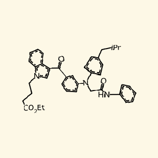 CCOC(=O)CCCn1cc(C(=O)c2cccc(N(CC(=O)Nc3ccccc3)c3ccc(CC(C)C)cc3)c2)c2ccccc21